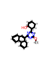 CCOc1nc(C2=CC3C=CC=CC3C3C=CCCC23)nc(C2CCC=CC2O)n1